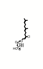 CC(C)=CCC/C(C)=C/CC/C(Cl)=C\COCP(=O)(O)CP(=O)(O)O